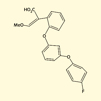 COC=C(C(=O)O)c1ccccc1Oc1cccc(Oc2ccc(F)cc2)c1